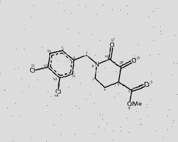 COC(=O)C1CCN(Cc2ccc(Cl)c(Cl)c2)C(=O)C1=O